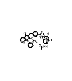 COC(=O)Oc1c(Cc2ccc(C(=O)N[C@@H]3[C@@H]4C[C@@H]5C[C@H]3C[C@](NC(C)=O)(C5)C4)cc2)c(=O)c2cccnc2n1-c1ccccc1